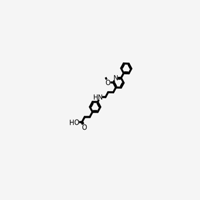 COc1nc(-c2ccccc2)ccc1CCCNc1ccc(CCC(=O)O)cc1